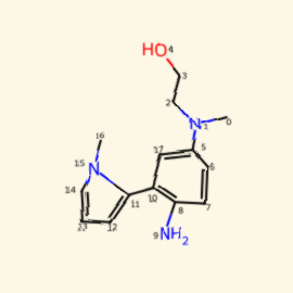 CN(CCO)c1ccc(N)c(-c2cccn2C)c1